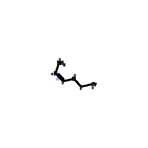 CC(C)CO/C=N\N